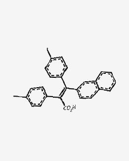 Cc1ccc(/C(C(=O)O)=C(\c2ccc(C)cc2)c2ccc3ccccc3c2)cc1